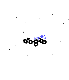 CC1(C)c2ccccc2-c2ccc(-c3ccc(-c4cc5ccccc5cc4C(=N)N)c4ccccc34)cc21